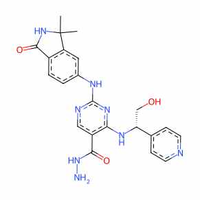 CC1(C)NC(=O)c2ccc(Nc3ncc(C(=O)NN)c(N[C@H](CO)c4ccncc4)n3)cc21